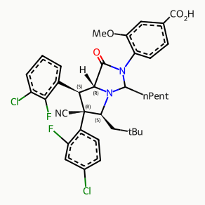 CCCCCC1N(c2ccc(C(=O)O)cc2OC)C(=O)[C@H]2[C@H](c3cccc(Cl)c3F)[C@@](C#N)(c3ccc(Cl)cc3F)[C@H](CC(C)(C)C)N12